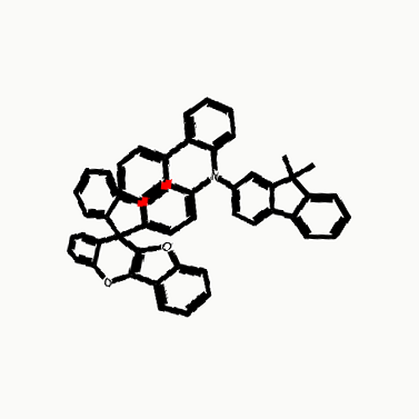 CC1(C)c2ccccc2-c2ccc(N(c3ccc4c(c3)-c3ccccc3C43c4ccccc4Oc4c3oc3ccccc43)c3ccccc3-c3ccccc3)cc21